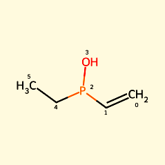 C=CP(O)CC